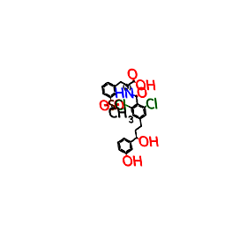 CS(=O)(=O)c1cccc(C[C@H](NC(=O)c2c(Cl)cc(CCC(O)c3cccc(O)c3)cc2Cl)C(=O)O)c1